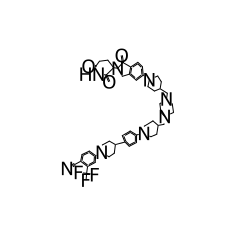 N#Cc1ccc(N2CCC(c3ccc(N4CCC(CN5CCN(CC6CCN(c7ccc8c(c7)CN(C7CCC(=O)NC7=O)C8=O)CC6)CC5)CC4)cc3)CC2)cc1C(F)(F)F